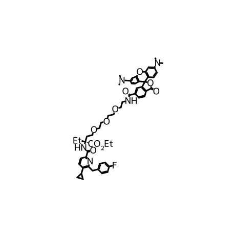 CCOC(=O)[C@](CC)(CCOCCOCCOCCNC(=O)c1ccc2c(c1)C1(OC2=O)c2ccc(N(C)C)cc2Oc2cc(N(C)C)ccc21)NC(=O)c1ccc(C2CC2)c(Cc2ccc(F)cc2)n1